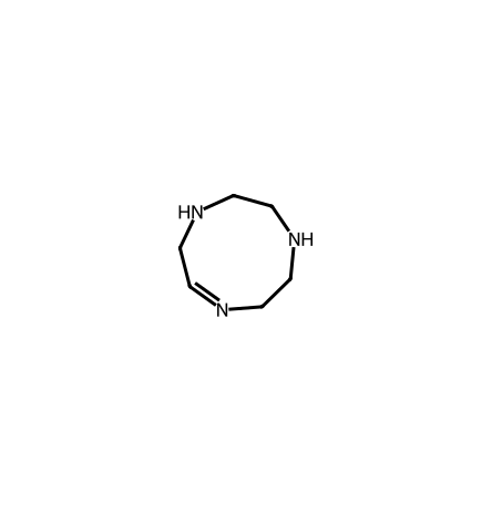 C1=NCCNCCNC1